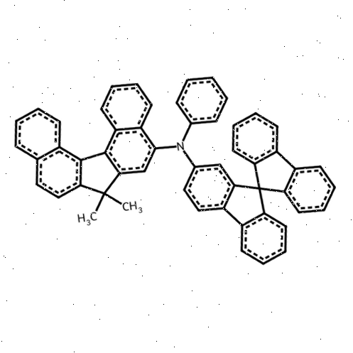 CC1(C)c2ccc3ccccc3c2-c2c1cc(N(c1ccccc1)c1ccc3c(c1)C1(c4ccccc4-c4ccccc41)c1ccccc1-3)c1ccccc21